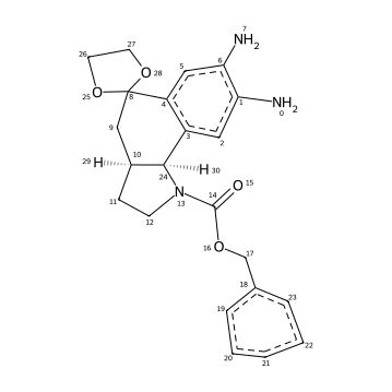 Nc1cc2c(cc1N)C1(C[C@@H]3CCN(C(=O)OCc4ccccc4)[C@H]23)OCCO1